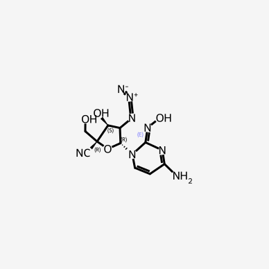 N#C[C@]1(CO)O[C@@H](n2ccc(N)n/c2=N\O)C(N=[N+]=[N-])[C@@H]1O